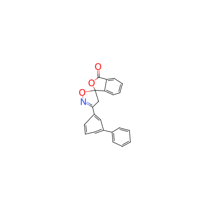 O=C1OC2(CC(c3cccc(-c4ccccc4)c3)=NO2)c2ccccc21